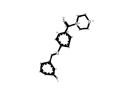 Fc1cccc(COc2ccc(C(=S)N3CCOCC3)cc2)c1